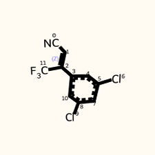 N#C/C=C(/c1cc(Cl)cc(Cl)c1)C(F)(F)F